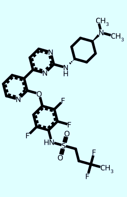 CN(C)[C@H]1CC[C@H](Nc2nccc(-c3cccnc3Oc3cc(F)c(NS(=O)(=O)CCC(C)(F)F)c(F)c3F)n2)CC1